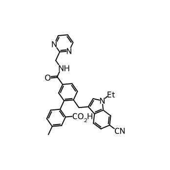 CCn1cc(Cc2ccc(C(=O)NCc3ncccn3)cc2-c2ccc(C)cc2C(=O)O)c2ccc(C#N)cc21